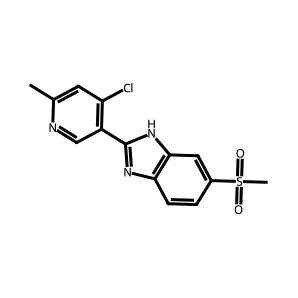 Cc1cc(Cl)c(-c2nc3ccc(S(C)(=O)=O)cc3[nH]2)cn1